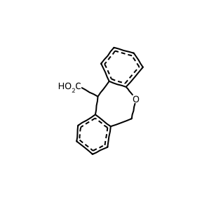 O=C(O)C1c2ccccc2COc2ccccc21